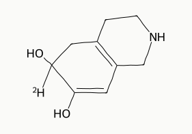 [2H]C1(O)CC2=C(C=C1O)CNCC2